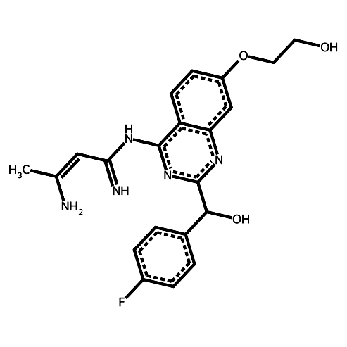 C/C(N)=C/C(=N)Nc1nc(C(O)c2ccc(F)cc2)nc2cc(OCCO)ccc12